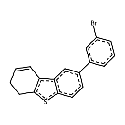 Brc1cccc(-c2ccc3sc4c(c3c2)C=CCC4)c1